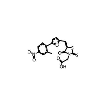 Cc1cc([N+](=O)[O-])ccc1-c1ccc(C=C2SC(=S)N(CC(=O)O)C2=O)o1